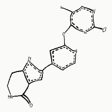 O=C1NCCc2[nH]c(-c3ccnc(Oc4nc(Cl)ncc4I)c3)cc21